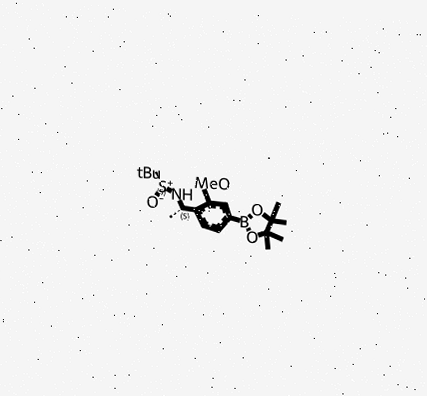 COc1cc(B2OC(C)(C)C(C)(C)O2)ccc1[C@H](C)N[S@+]([O-])C(C)(C)C